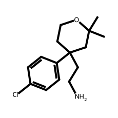 CC1(C)CC(CCN)(c2ccc(Cl)cc2)CCO1